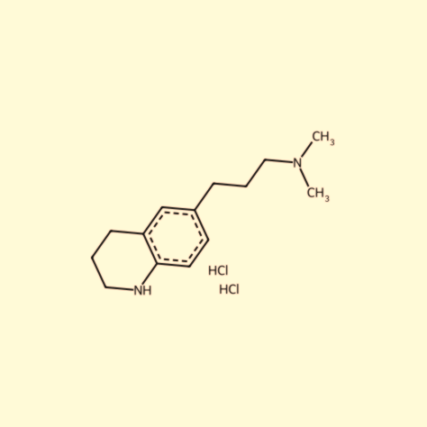 CN(C)CCCc1ccc2c(c1)CCCN2.Cl.Cl